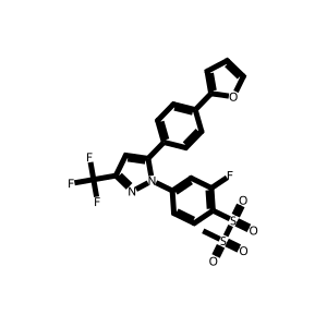 CS(=O)(=O)S(=O)(=O)c1ccc(-n2nc(C(F)(F)F)cc2-c2ccc(-c3ccco3)cc2)cc1F